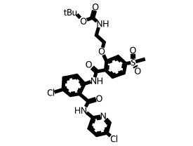 CC(C)(C)OC(=O)NCCOc1cc(S(C)(=O)=O)ccc1C(=O)Nc1ccc(Cl)cc1C(=O)Nc1ccc(Cl)cn1